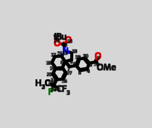 COC(=O)c1ccc(CC23CCN(C(=O)OC(C)(C)C)C2CCc2cc(C(C)(F)C(F)(F)F)ccc23)cc1